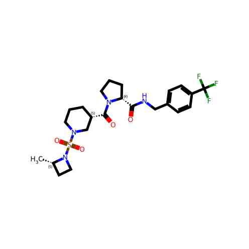 C[C@H]1CCN1S(=O)(=O)N1CCC[C@H](C(=O)N2CCC[C@@H]2C(=O)NCc2ccc(C(F)(F)F)cc2)C1